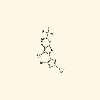 Cn1c(-c2sc(C3CC3)nc2Br)nc2cc(C(F)(F)F)ncc21